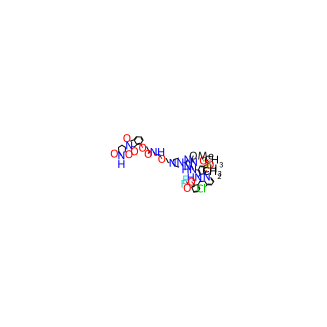 C=C/C(N[C@@H](c1cccc2c1OC(F)(F)O2)c1ncccc1Cl)=C(\C=C(/C)S(C)(=O)=O)Nc1nc(OC)nc(N2CCN(CCOCCNC(=O)COc3cccc4c3C(=O)N(C3CCC(=O)NC3=O)C4=O)CC2)n1